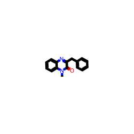 Cn1c(=O)c(Cc2ccccc2)nc2ccccc21